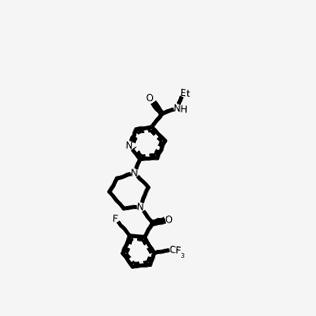 CCNC(=O)c1ccc(N2CCCN(C(=O)c3c(F)cccc3C(F)(F)F)C2)nc1